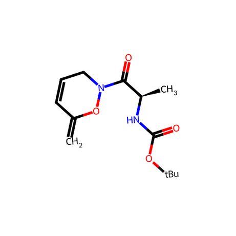 C=C1C=CCN(C(=O)[C@@H](C)NC(=O)OC(C)(C)C)O1